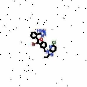 CCc1nc2ccc(Cl)nc2n1Cc1ccc2oc(-c3ccccc3-c3nnn[nH]3)c(Br)c2c1